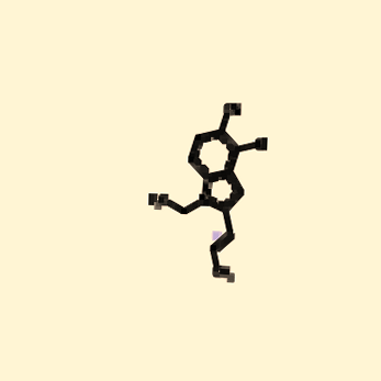 C/C=C/c1cc2c(Cl)c(C#N)ccc2n1CC(F)(F)F